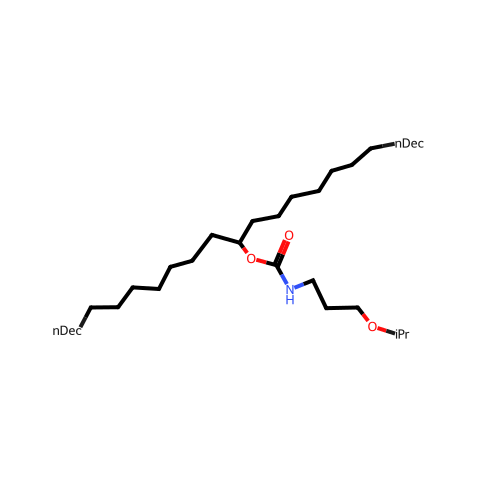 CCCCCCCCCCCCCCCCCC(CCCCCCCCCCCCCCCCC)OC(=O)NCCCOC(C)C